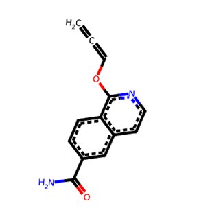 C=C=COc1nccc2cc(C(N)=O)ccc12